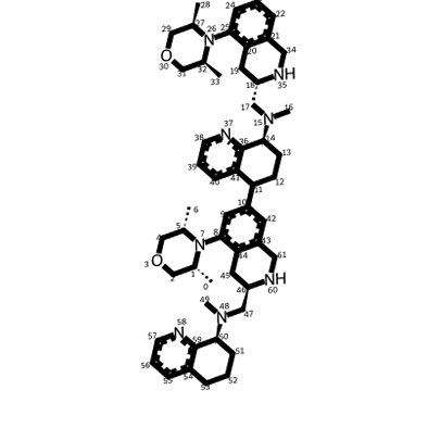 C[C@@H]1COC[C@H](C)N1c1cc(C2CC[C@H](N(C)C[C@@H]3Cc4c(cccc4N4[C@H](C)COC[C@@H]4C)CN3)c3ncccc32)cc2c1C[C@H](CN(C)[C@H]1CCCc3cccnc31)NC2